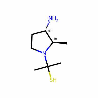 C[C@@H]1[C@@H](N)CCN1C(C)(C)S